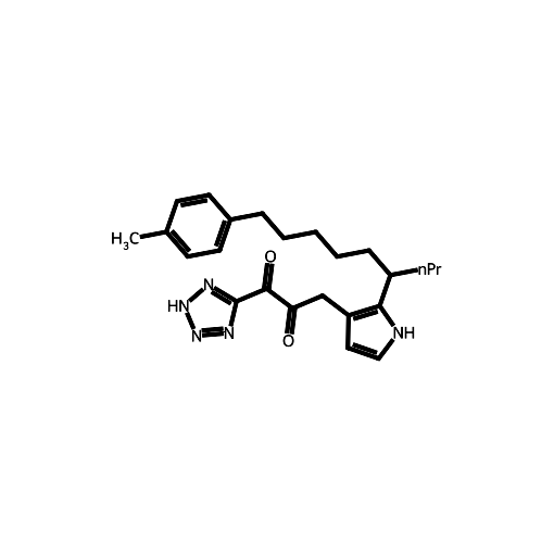 CCCC(CCCCCc1ccc(C)cc1)c1[nH]ccc1CC(=O)C(=O)c1nn[nH]n1